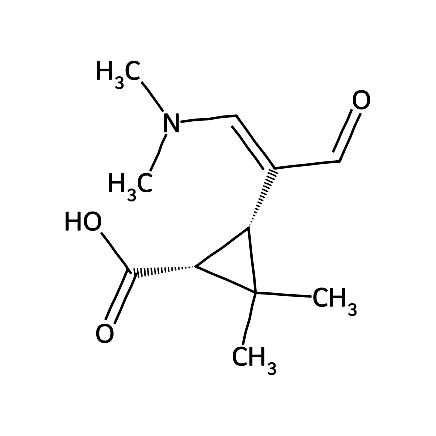 CN(C)/C=C(/C=O)[C@H]1[C@@H](C(=O)O)C1(C)C